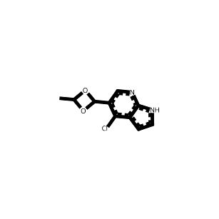 CC1OC(c2cnc3[nH]ccc3c2Cl)O1